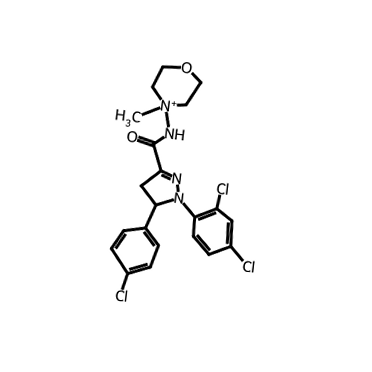 C[N+]1(NC(=O)C2=NN(c3ccc(Cl)cc3Cl)C(c3ccc(Cl)cc3)C2)CCOCC1